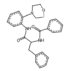 O=C(NC(Cc1ccccc1)C(=O)Nc1ccccc1N1CCOCC1)c1ccccc1